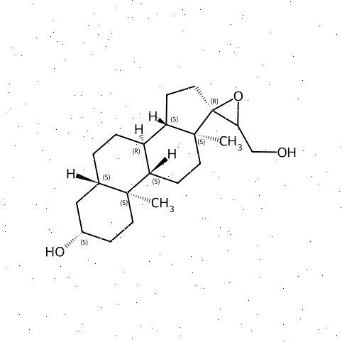 C[C@]12CC[C@H](O)C[C@@H]1CC[C@@H]1[C@@H]2CC[C@@]2(C)[C@H]1CC[C@@]21OC1CO